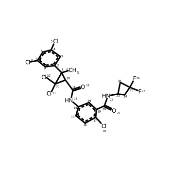 CC1(c2cc(Cl)cc(Cl)c2)C(C(=O)Nc2ccc(Cl)c(C(=O)NC3CC(F)(F)C3)c2)C1(Cl)Cl